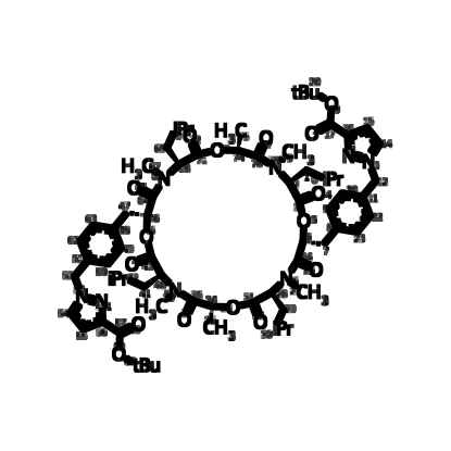 CC(C)C[C@H]1C(=O)O[C@H](Cc2ccc(Cn3ccc(C(=O)OC(C)(C)C)n3)cc2)C(=O)N(C)[C@@H](CC(C)C)C(=O)O[C@H](C)C(=O)N(C)[C@@H](CC(C)C)C(=O)O[C@H](Cc2ccc(Cn3ccc(C(=O)OC(C)(C)C)n3)cc2)C(=O)N(C)[C@@H](CC(C)C)C(=O)O[C@H](C)C(=O)N1C